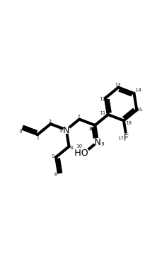 C=CCN(CC=C)CC(=NO)c1ccccc1F